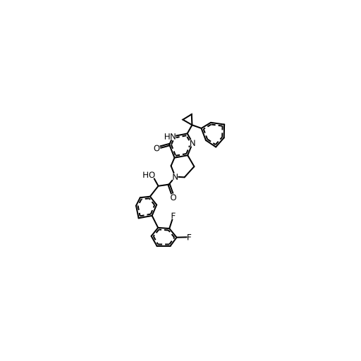 O=C(C(O)c1cccc(-c2cccc(F)c2F)c1)N1CCc2nc(C3(c4ccccc4)CC3)[nH]c(=O)c2C1